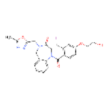 Cc1nnc(CN2Cc3ccccc3N(C(=O)c3ccc(OCCO)cc3CI)CC2=O)o1